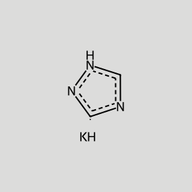 [KH].[c]1nc[nH]n1